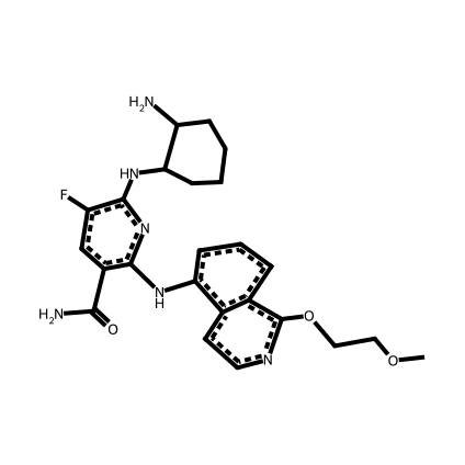 COCCOc1nccc2c(Nc3nc(NC4CCCCC4N)c(F)cc3C(N)=O)cccc12